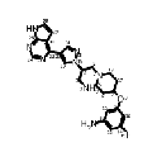 NCC(CN1CCC(Oc2cc(N)cc(F)c2)CC1)n1cc(-c2ncnc3[nH]ccc23)cn1